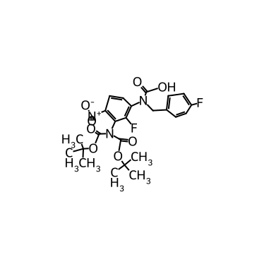 CC(C)(C)OC(=O)N(C(=O)OC(C)(C)C)c1c([N+](=O)[O-])ccc(N(Cc2ccc(F)cc2)C(=O)O)c1F